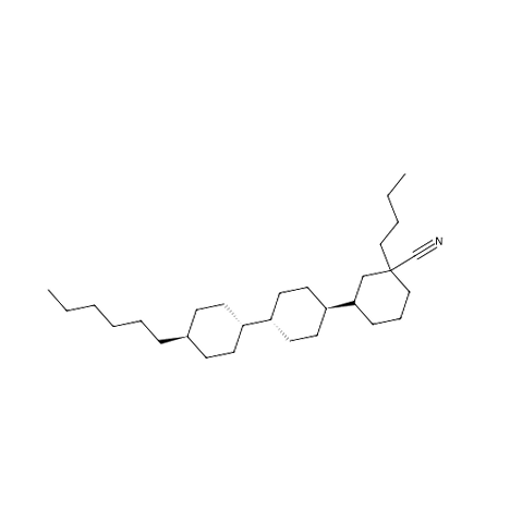 CCCCCC[C@H]1CC[C@H]([C@H]2CC[C@H](C3CCCC(C#N)(CCCC)C3)CC2)CC1